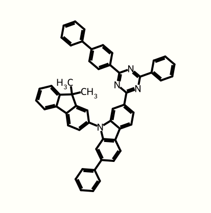 CC1(C)c2ccccc2-c2ccc(-n3c4cc(-c5ccccc5)ccc4c4ccc(-c5nc(-c6ccccc6)nc(-c6ccc(-c7ccccc7)cc6)n5)cc43)cc21